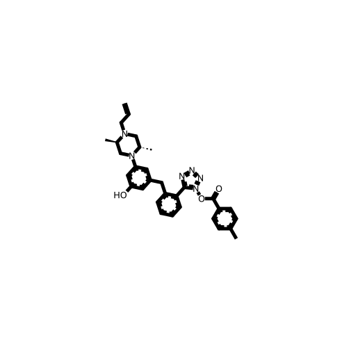 C=CCN1C[C@H](C)N(c2cc(O)cc(Cc3ccccc3-c3nnnn3OC(=O)c3ccc(C)cc3)c2)C[C@H]1C